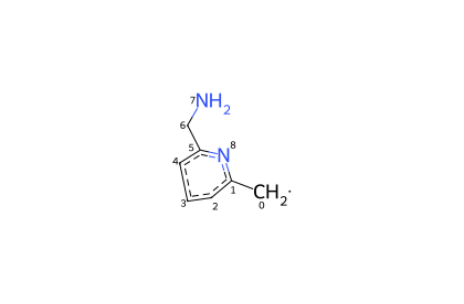 [CH2]c1cccc(CN)n1